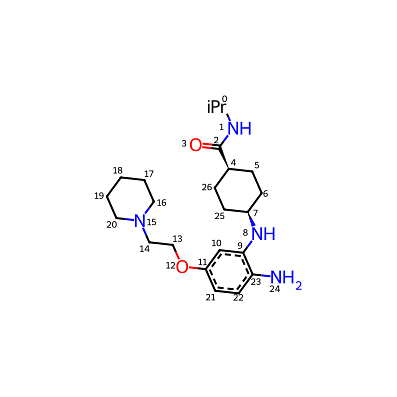 CC(C)NC(=O)[C@H]1CC[C@@H](Nc2cc(OCCN3CCCCC3)ccc2N)CC1